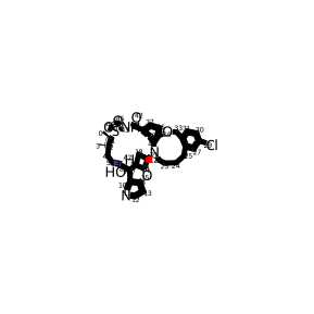 C[C@@H]1[C@@H](C)C/C=C/[C@@]2(O)c3cnccc3O[C@@]3(CC[C@H]32)CN2CCCCc3cc(Cl)ccc3COc3ccc(cc32)C(=O)NS1(=O)=O